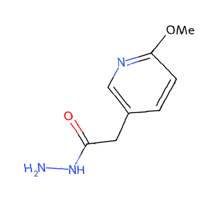 COc1ccc(CC(=O)NN)cn1